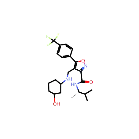 CC(C)[C@H](C)NC(=O)c1noc(-c2ccc(C(F)(F)F)cc2)c1CNC1CCCC(O)C1